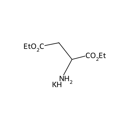 CCOC(=O)CC(N)C(=O)OCC.[KH]